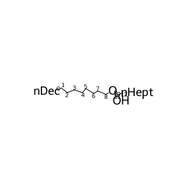 CCCCCCCCCCCCCCCCCCOC(O)CCCCCCC